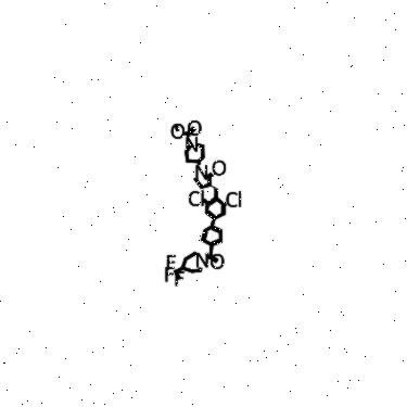 COC(=O)N1CCC(N2CC[C@@H](Cc3c(Cl)cc(-c4ccc(C(=O)N5CCC(C(F)(F)F)CC5)cc4)cc3Cl)C2=O)CC1